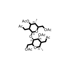 CC(=O)CC1C(OC(C)=O)[C@H](C)C(COC(C)=O)O[C@H]1O[C@@H]1C(COC(C)=O)O[C@@H](C)C(CC(C)=O)[C@H]1OC(C)=O